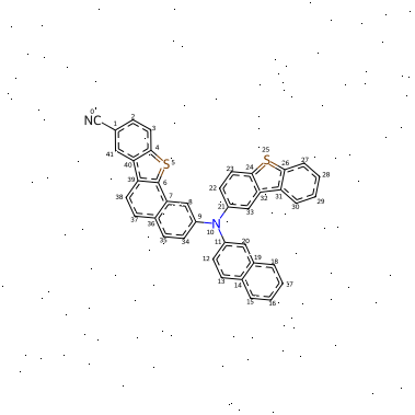 N#Cc1ccc2sc3c4cc(N(c5ccc6ccccc6c5)c5ccc6sc7ccccc7c6c5)ccc4ccc3c2c1